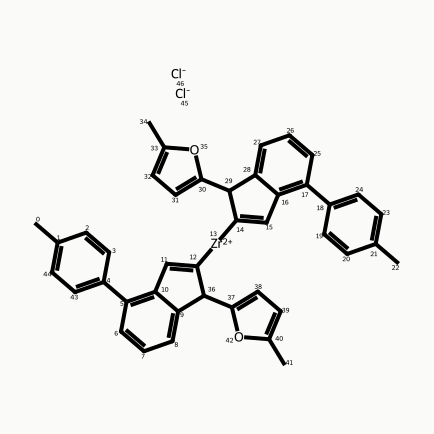 Cc1ccc(-c2cccc3c2C=[C]([Zr+2][C]2=Cc4c(-c5ccc(C)cc5)cccc4C2c2ccc(C)o2)C3c2ccc(C)o2)cc1.[Cl-].[Cl-]